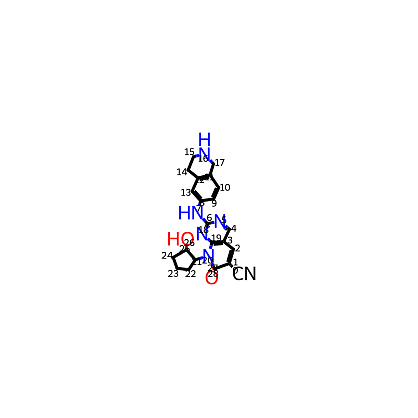 N#Cc1cc2cnc(Nc3ccc4c(c3)CCNC4)nc2n(C2CCCC2O)c1=O